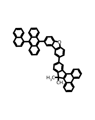 CC1(C)c2ccc(-c3ccc4oc5ccc(-c6c7ccccc7c(-c7cccc8ccccc78)c7ccccc67)cc5c4c3)cc2-c2c1c1ccccc1c1ccccc21